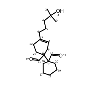 CC(C)(O)CCCC1=CCC(C=O)(C2(C=O)CCCCC2)CC1